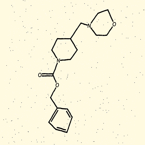 O=C(OCc1ccccc1)N1CCC(CN2CCOCC2)CC1